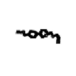 CC/C=C\OCC1CCC([C@H]2CC[C@H](COC)CC2)CC1